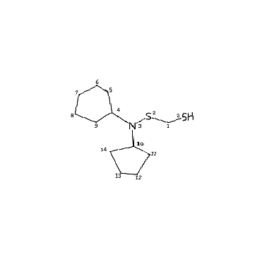 SCSN(C1CCCCC1)C1CCCC1